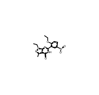 CCOc1ccc([N+](=O)[O-])cc1-c1nc2c(c(C)nn2CC)c(=O)[nH]1